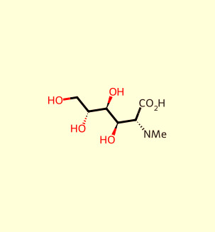 CN[C@@H](C(=O)O)[C@@H](O)[C@H](O)[C@H](O)CO